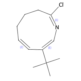 CC(C)(C)C1=C/N=C(/Cl)CCC/C=C\1